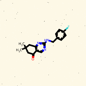 CC1(C)CC(=O)c2cnc(NCc3ccc(F)cc3)nc2C1